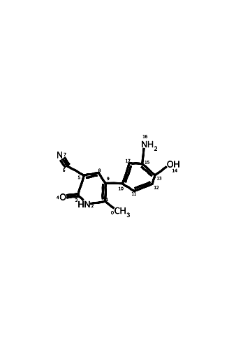 Cc1[nH]c(=O)c(C#N)cc1-c1ccc(O)c(N)c1